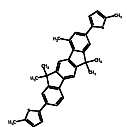 Cc1ccc(-c2ccc3c(c2)C(C)(C)c2cc4c(cc2-3)C(C)(C)c2cc(-c3ccc(C)s3)cc(C)c2-4)s1